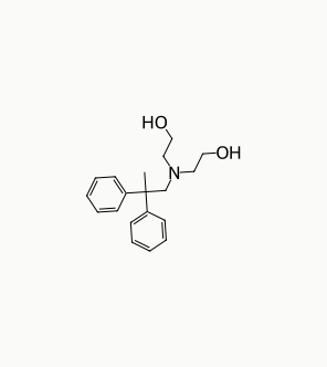 CC(CN(CCO)CCO)(c1ccccc1)c1ccccc1